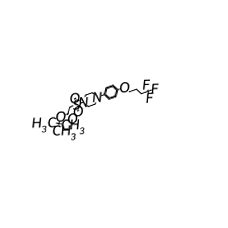 CC(C)(C)OC(=O)CS(=O)(=O)N1CCN(c2ccc(OCCCC(F)(F)F)cc2)CC1